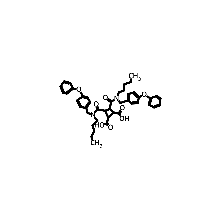 CCCCCN(Cc1ccc(Oc2ccccc2)cc1)C(=O)C1C(C(=O)O)C(C(=O)O)C1C(=O)N(CCCCC)Cc1ccc(Oc2ccccc2)cc1